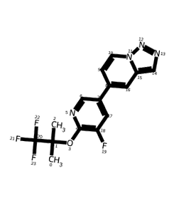 CC(C)(Oc1ncc(-c2ccn3nncc3c2)cc1F)C(F)(F)F